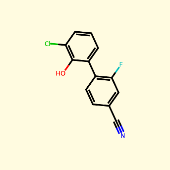 N#Cc1ccc(-c2cccc(Cl)c2O)c(F)c1